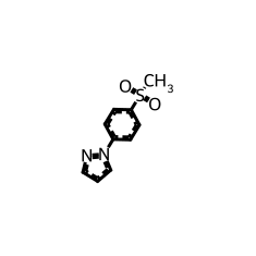 CS(=O)(=O)c1ccc(-n2cccn2)cc1